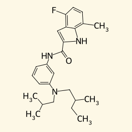 CCC(C)CN(CC(C)C)c1cccc(NC(=O)c2cc3c(F)ccc(C)c3[nH]2)c1